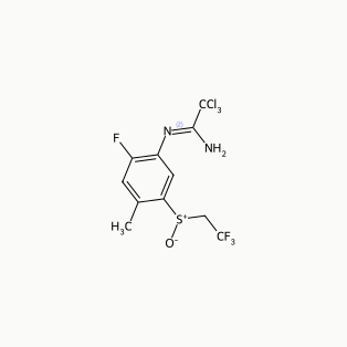 Cc1cc(F)c(/N=C(\N)C(Cl)(Cl)Cl)cc1[S+]([O-])CC(F)(F)F